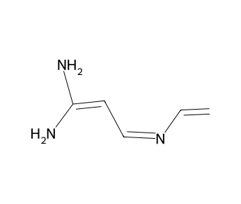 C=C/N=C\C=C(N)N